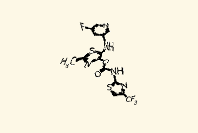 Cc1nc(OC(=O)Nc2nc(C(F)(F)F)cs2)c(Nc2cncc(F)c2)s1